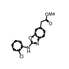 COC(=O)Cc1ccc2nc(Nc3ccccc3Cl)oc2c1